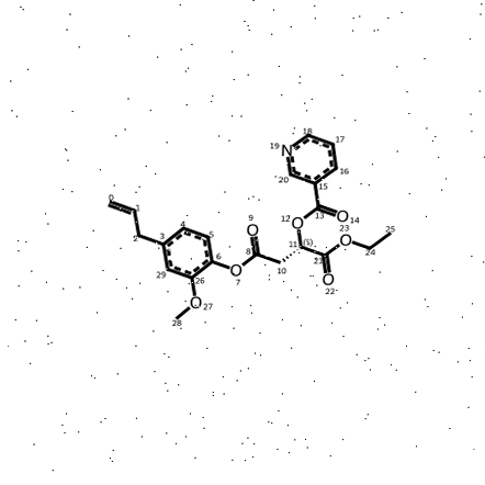 C=CCc1ccc(OC(=O)C[C@H](OC(=O)c2cccnc2)C(=O)OCC)c(OC)c1